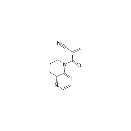 C=C(C#N)C(=O)N1CCCc2ncccc21